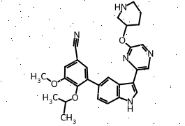 COc1cc(C#N)cc(-c2ccc3[nH]cc(-c4cncc(OC5CCCNC5)n4)c3c2)c1OC(C)C